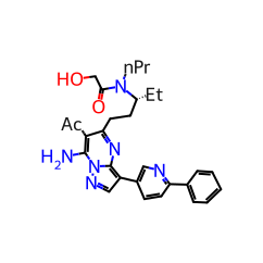 CCCN(C(=O)CO)[C@H](CC)CCc1nc2c(-c3ccc(-c4ccccc4)nc3)cnn2c(N)c1C(C)=O